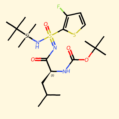 CC(C)C[C@H](NC(=O)OC(C)(C)C)C(=O)N=S(=O)(N[Si](C)(C)C(C)(C)C)c1sccc1F